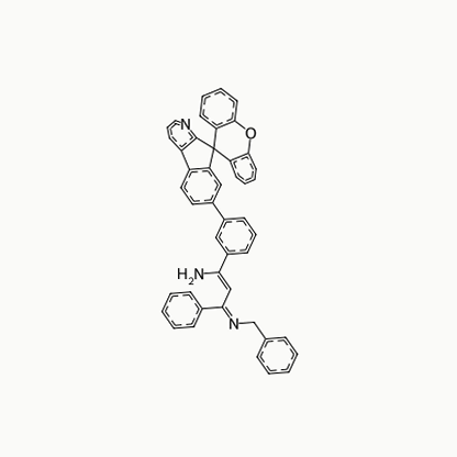 N/C(=C\C(=N/Cc1ccccc1)c1ccccc1)c1cccc(-c2ccc3c(c2)C2(c4ccccc4Oc4ccccc42)c2ncccc2-3)c1